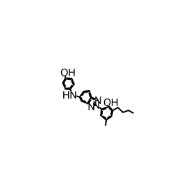 CCCCc1cc(C)cc(-n2nc3ccc(Nc4ccc(O)cc4)cc3n2)c1O